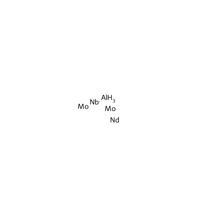 [AlH3].[Mo].[Mo].[Nb].[Nd]